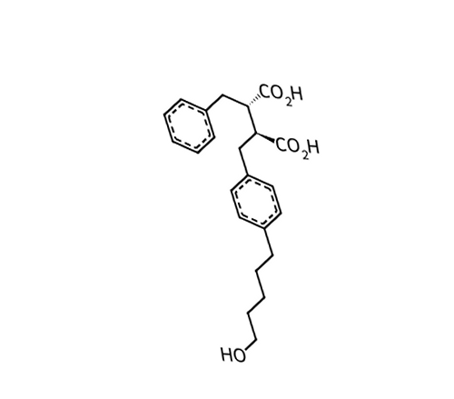 O=C(O)[C@@H](Cc1ccccc1)[C@H](Cc1ccc(CCCCCO)cc1)C(=O)O